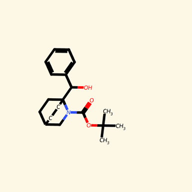 CC(C)(C)OC(=O)N1CC2CCC1(C(O)c1ccccc1)CC2